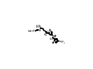 COCCNC(=N)CCNC(=O)c1cc(NC(=O)c2cc([N+](=O)[O-])cn2C)cn1C